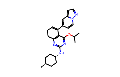 CC(C)Oc1nc(N[C@H]2CC[C@H](C)CC2)nc2c1C(c1ccn3nccc3c1)=CCC2